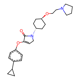 O=C1C(Oc2ccc(C3CC3)cc2)=CCN1[C@H]1CC[C@H](OCCN2CCCC2)CC1